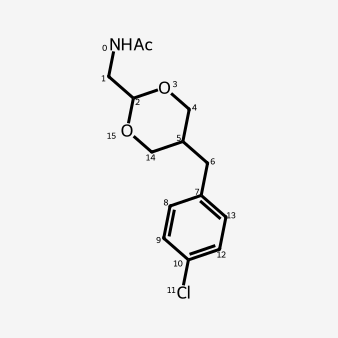 CC(=O)NCC1OCC(Cc2ccc(Cl)cc2)CO1